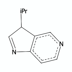 CC(C)C1C=Nc2ccncc21